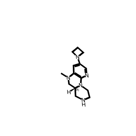 CN1C[C@H]2CNCCN2c2ncc(N3CCC3)cc21